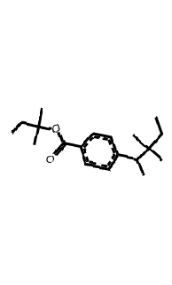 CCC(C)(C)OC(=O)c1ccc(C(C)C(C)(C)CC)cc1